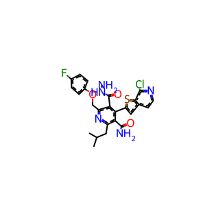 CC(C)Cc1nc(COc2ccc(F)cc2)c(C(=O)NN)c(-c2cc3ccnc(Cl)c3s2)c1C(N)=O